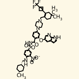 CC1(C)CCC(CN2CCN(c3ccc(C(=O)NS(=O)(=O)c4ccc(NC[C@H]5CC[C@@H](C)CC5)c([N+](=O)[O-])c4)c(Oc4cnc5[nH]ccc5c4)c3)CC2)=C(C23CC(C(F)(F)F)(C2)C3)C1